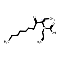 C=CCN(C(=O)O)/C(=C\C)C(=O)CCCCCCC